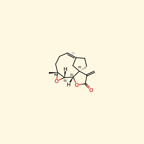 C=C1C(=O)O[C@@H]2[C@@H]3O[C@]3(C)CC/C=C3/CC[C@]12C3